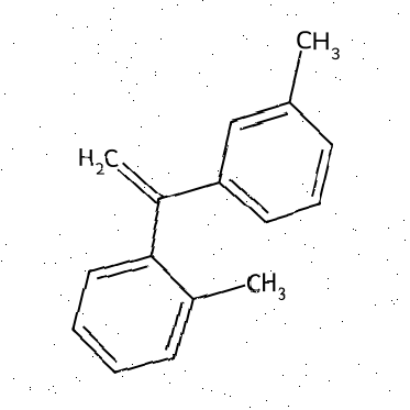 C=C(c1cccc(C)c1)c1ccccc1C